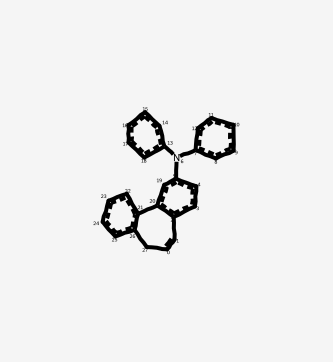 C1=Cc2ccc(N(c3ccccc3)c3ccccc3)cc2-c2ccccc2C1